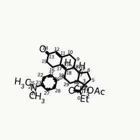 CCC(=O)[C@@]1(OC(C)=O)CC[C@H]2[C@@H]3CCC4=CC(=O)CCC4=C3[C@@H](c3ccc(N(C)C)cc3)C[C@@]21C